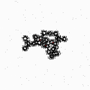 c1ccc(-c2cccc(-c3cccc(C4(c5ccc6c(c5)oc5cc(-c7nc(-c8ccccc8)nc(-c8cccc(-c9ccc(-c%10cccc(-c%11cccc(C%12(c%13ccc%14c%15ccc(-c%16nc(-c%17ccccc%17)nc(-c%17ccccc%17)n%16)cc%15n(-c%15ccccc%15)c%14c%13)c%13ccccc%13-c%13ccccc%13%12)c%11)c%10)cc9)c8)n7)ccc56)c5ccccc5-c5ccccc54)c3)c2)cc1